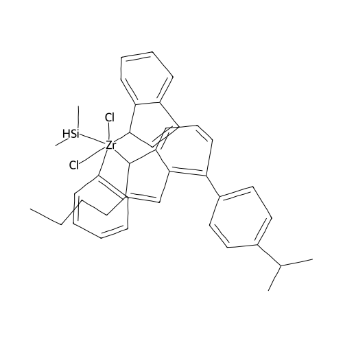 CCCCC1=Cc2c(-c3ccc(C(C)C)cc3)cccc2[CH]1[Zr]([Cl])([Cl])([c]1ccccc1)([CH]1C=Cc2ccccc21)[SiH](C)C